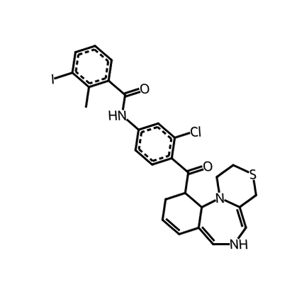 Cc1c(I)cccc1C(=O)Nc1ccc(C(=O)C2CC=CC3=CNC=C4CSCCN4C32)c(Cl)c1